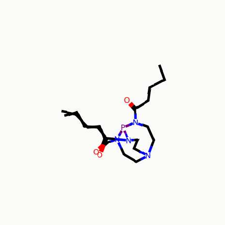 CCCCC(=O)N1CCN2CCN(C(=O)CCCC)P1N(C(=O)CCCC)CC2